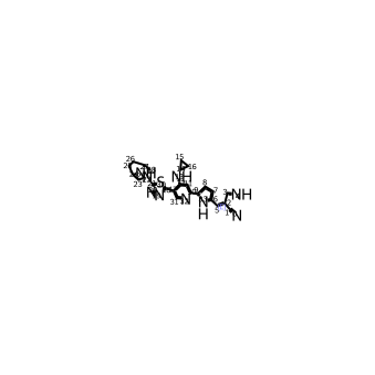 N#C/C(C=N)=C/c1ccc(-c2cc(NC3CC3)c(-c3nnc(N4CC5CCC(C4)N5)s3)cn2)[nH]1